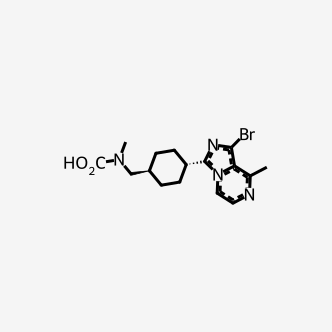 Cc1nccn2c1c(Br)nc2[C@H]1CC[C@H](CN(C)C(=O)O)CC1